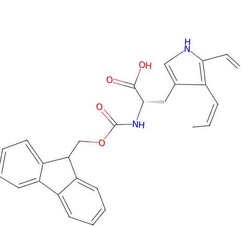 C=Cc1[nH]cc(C[C@H](NC(=O)OCC2c3ccccc3-c3ccccc32)C(=O)O)c1/C=C\C